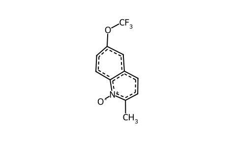 Cc1ccc2cc(OC(F)(F)F)ccc2[n+]1[O-]